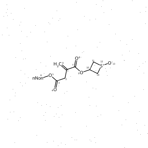 C=C(CC(=O)OCCCCCCCCC)C(=O)OC1C[S+]([O-])C1